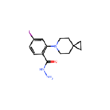 NNC(=O)c1ccc(I)cc1N1CCC2(CC1)CC2